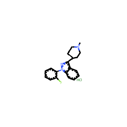 CN1CCC(c2nn(-c3ccccc3F)c3ccccc23)CC1.Cl